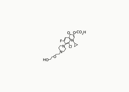 O=C(O)Oc1cn(C2CC2)c2c(Cl)c(N3CCN(CCOCCO)CC3)c(F)cc2c1=O